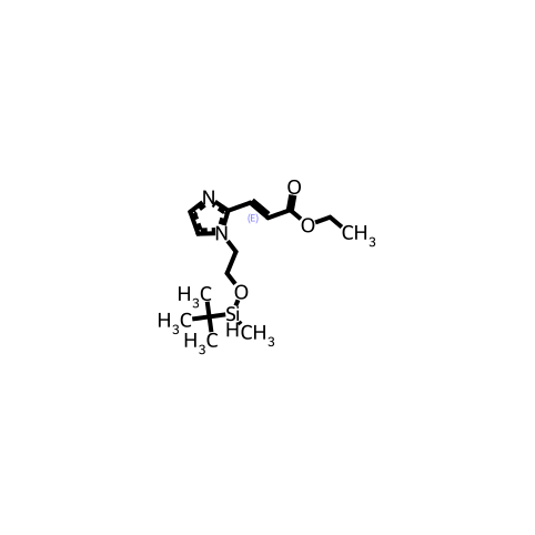 CCOC(=O)/C=C/c1nccn1CCO[SiH](C)C(C)(C)C